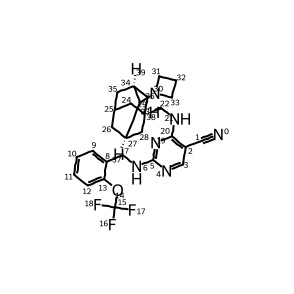 N#Cc1cnc(NCc2ccccc2OC(F)(F)F)nc1NC[C@]12CC3C[C@H](C1)[C@H](N1CCC1)[C@@H](C3)C2